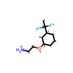 CC(F)(F)C1CCCC(OCCN)C1